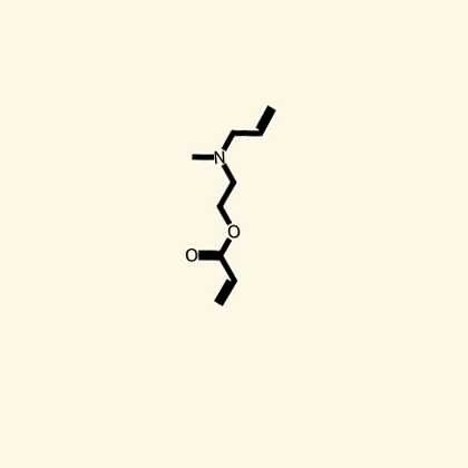 C=CCN(C)CCOC(=O)C=C